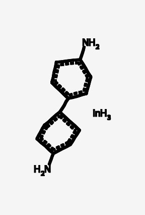 Nc1ccc(-c2ccc(N)cc2)cc1.[InH3]